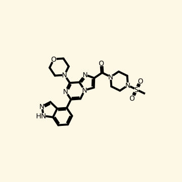 CS(=O)(=O)N1CCN(C(=O)c2cn3cc(-c4cccc5[nH]ncc45)nc(N4CCOCC4)c3n2)CC1